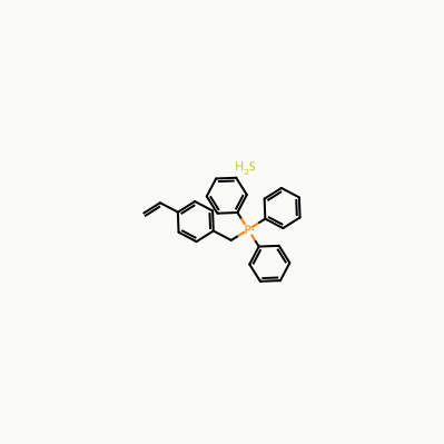 C=Cc1ccc(C[P](c2ccccc2)(c2ccccc2)c2ccccc2)cc1.S